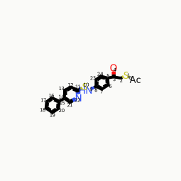 CC(=O)SCC(=O)c1ccc(NSc2ccc(-c3ccccc3)cn2)cc1